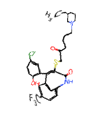 CC1CCCN(CCCC(=O)CSc2c(-c3cc(Cl)ccc3O)c3cc(C(F)(F)F)ccc3[nH]c2=O)C1